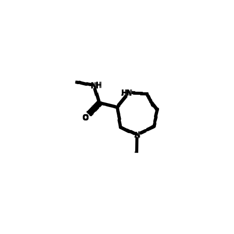 CNC(=O)C1CN(C)CCCN1